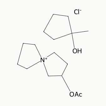 CC(=O)OC1CC[N+]2(CCCC2)C1.CC1(O)CCCC1.[Cl-]